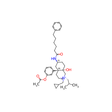 CC(=O)Oc1cccc([C@]23CC[N@+](CC(C)C)(CC4CC4)CC2(O)CC[C@H](NC(=O)CCCCCc2ccccc2)C3)c1